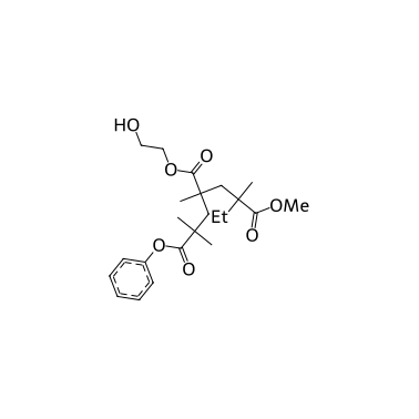 CCC(C)(CC(C)(CC(C)(C)C(=O)Oc1ccccc1)C(=O)OCCO)C(=O)OC